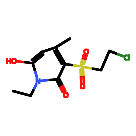 CCn1c(O)cc(C)c(S(=O)(=O)CCCl)c1=O